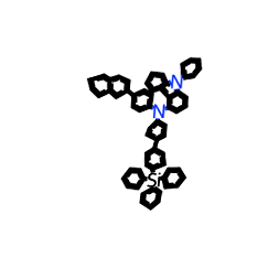 c1ccc(-n2c3ccccc3c3c(N(c4ccc(-c5ccc([Si](c6ccccc6)(c6ccccc6)c6ccccc6)cc5)cc4)c4ccc(-c5ccc6ccccc6c5)cc4)cccc32)cc1